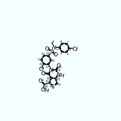 CN(c1ccc(Cl)cc1)S(=O)(=O)c1ccc(Cl)c(-n2c(=O)[nH]c3csc(C(=O)O)c3c2=O)c1